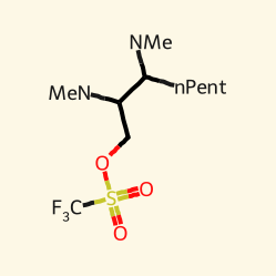 CCCCCC(NC)C(COS(=O)(=O)C(F)(F)F)NC